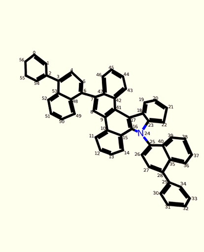 C1=CC(c2ccc(-c3cc4c5ccccc5c5c(c6ccccc6n5-c5ccc(-c6ccccc6)c6ccccc56)c4c4ccccc34)c3ccccc23)=CCC1